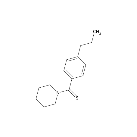 CCCc1ccc(C(=S)N2CCCCC2)cc1